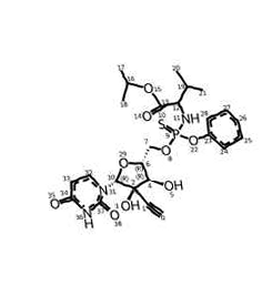 C#C[C@@]1(O)[C@H](O)[C@@H](COP(=S)(NC(C(=O)OC(C)C)C(C)C)Oc2ccccc2)O[C@H]1n1ccc(=O)[nH]c1=O